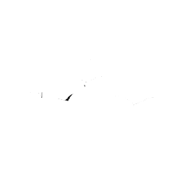 CC1CC[C@@H]1[C@]1(C)C[N@]1CN